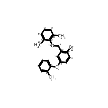 Cc1ccccc1Oc1ccc(Br)c(COc2c(C)cccc2C)c1